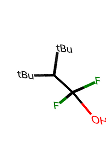 CC(C)(C)C(C(C)(C)C)C(O)(F)F